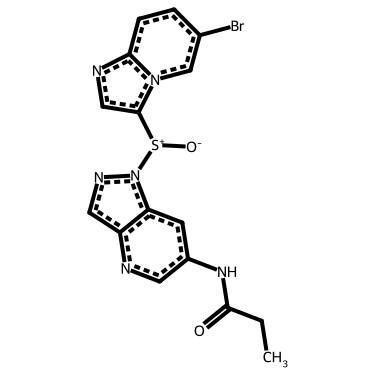 CCC(=O)Nc1cnc2cnn([S+]([O-])c3cnc4ccc(Br)cn34)c2c1